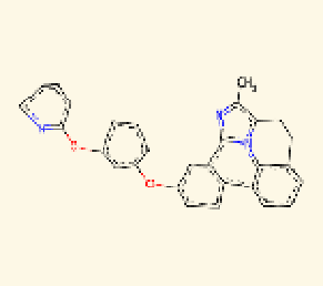 Cc1nc2c3cc(Oc4cccc(Oc5ccccn5)c4)ccc3c3cccc4c3n2c1CC4